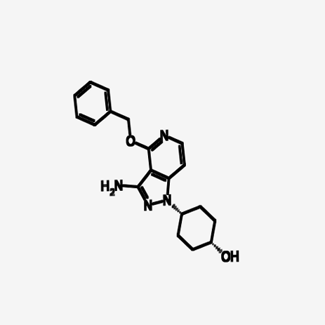 Nc1nn([C@H]2CC[C@@H](O)CC2)c2ccnc(OCc3ccccc3)c12